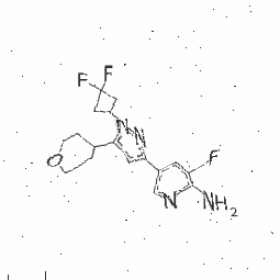 Nc1ncc(-c2cc(C3CCOCC3)n(C3CC(F)(F)C3)n2)cc1F